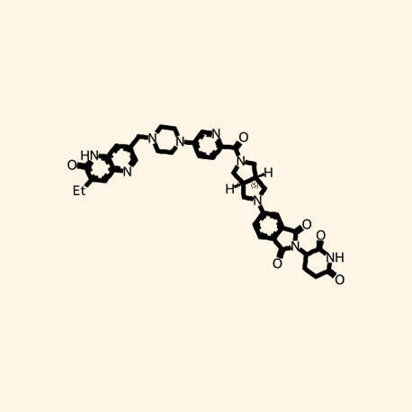 CCc1cc2ncc(CN3CCN(c4ccc(C(=O)N5C[C@@H]6CN(c7ccc8c(c7)C(=O)N(C7CCC(=O)NC7=O)C8=O)C[C@@H]6C5)nc4)CC3)cc2[nH]c1=O